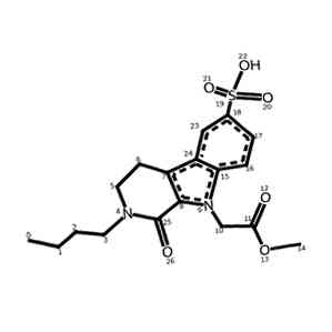 CCCCN1CCc2c(n(CC(=O)OC)c3ccc(S(=O)(=O)O)cc23)C1=O